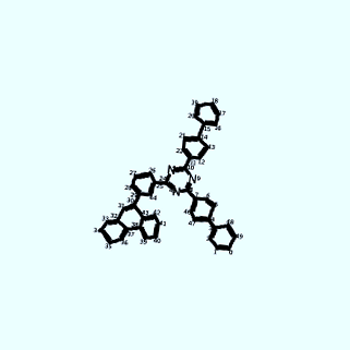 c1ccc(-c2ccc(-c3nc(-c4ccc(-c5ccccc5)cc4)nc(-c4cccc(-c5cc6ccccc6c6ccccc56)c4)n3)cc2)cc1